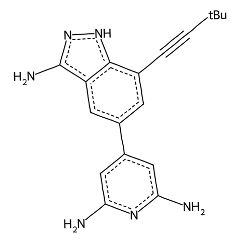 CC(C)(C)C#Cc1cc(-c2cc(N)nc(N)c2)cc2c(N)n[nH]c12